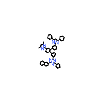 Cc1cc(C)nc(-c2ccc(-c3cccc(-c4nc(-c5ccccc5)nc(-c5ccc6ccccc6c5)n4)c3)c(-c3cccc(-c4nc(-c5ccccc5)cc(-c5ccccc5)n4)c3)c2)n1